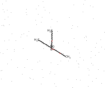 CCCCCCCCCCCCCCCCCC(=O)C(CCCCCCCCCCCCCCCC)C(=O)OCCCCCCCCCCCCCCCC